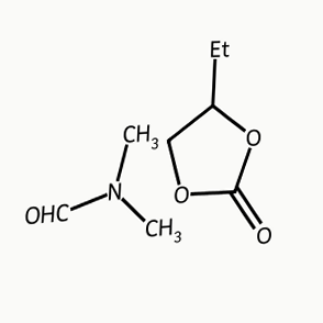 CCC1COC(=O)O1.CN(C)C=O